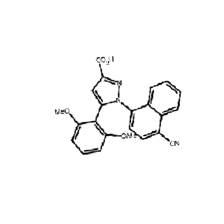 COc1cccc(OC)c1-c1cc(C(=O)O)nn1-c1ccc(C#N)c2ccccc12